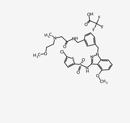 COCCN(C)CC(=O)NCc1cccc(Cn2nc(NS(=O)(=O)c3ccc(Cl)s3)c3c(OC)cccc32)c1.O=C(O)C(F)(F)F